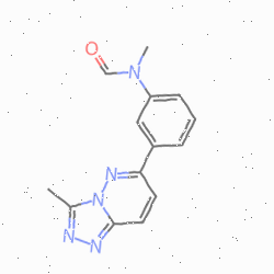 Cc1nnc2ccc(-c3cccc(N(C)C=O)c3)nn12